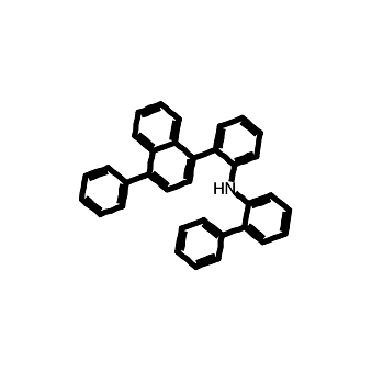 c1ccc(-c2ccccc2Nc2ccccc2-c2ccc(-c3ccccc3)c3ccccc23)cc1